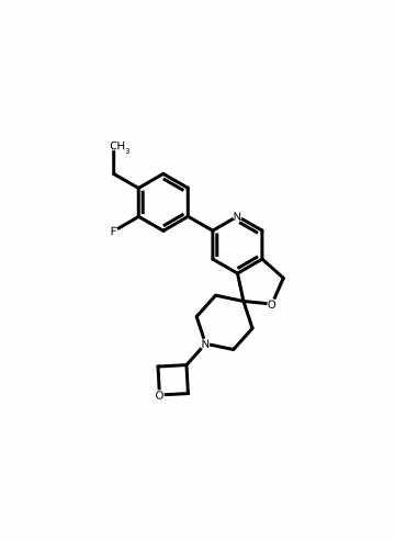 CCc1ccc(-c2cc3c(cn2)COC32CCN(C3COC3)CC2)cc1F